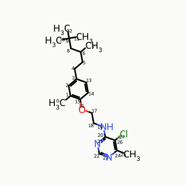 Cc1cc(CCC(C)CC(C)(C)C)ccc1OCCNc1ncnc(C)c1Cl